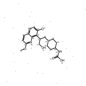 COc1ccc2ncc(Cl)c(C(CO)CN3CCC(NC(=O)O)CC3)c2n1